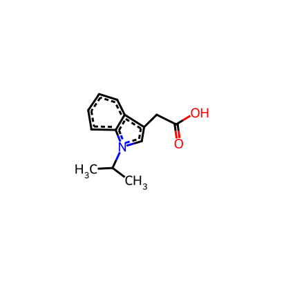 CC(C)n1cc(CC(=O)O)c2ccccc21